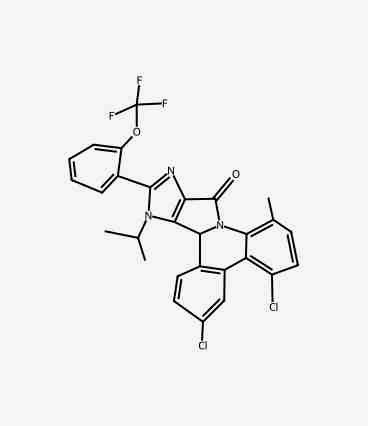 Cc1ccc(Cl)c2c1N1C(=O)c3nc(-c4ccccc4OC(F)(F)F)n(C(C)C)c3C1c1ccc(Cl)cc1-2